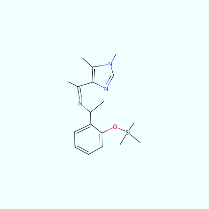 CC(=NC(C)c1ccccc1O[Si](C)(C)C)c1ncn(C)c1C